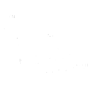 N#Cc1ccc(OCC(O)COc2ccc3oc(C(=O)O)cc(=O)c3c2)cc1.[Na]